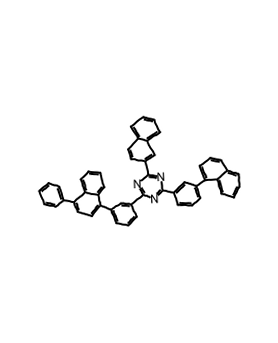 c1ccc(-c2ccc(-c3cccc(-c4nc(-c5cccc(-c6cccc7ccccc67)c5)nc(-c5ccc6ccccc6c5)n4)c3)c3ccccc23)cc1